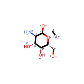 CC(C)=O.N[C@H]1C(O)O[C@H](CO)[C@@H](O)[C@@H]1O